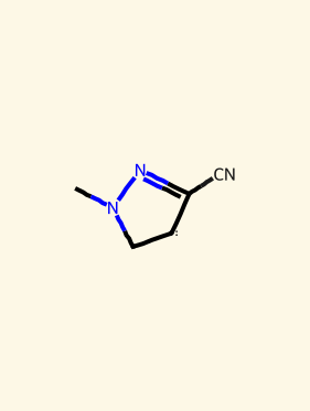 CN1C[C]C(C#N)=N1